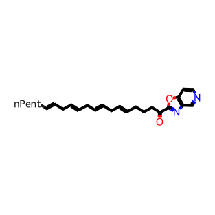 CCCCCC=CCC=CCC=CCC=CCCCC(=O)c1nc2cnccc2o1